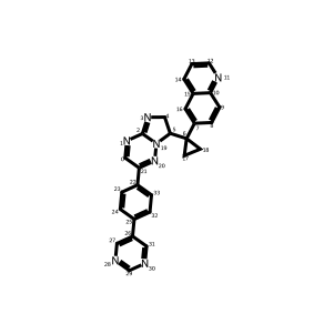 C1=NC2=NCC(C3(c4ccc5ncccc5c4)CC3)N2N=C1c1ccc(-c2cncnc2)cc1